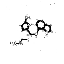 CNCC[C@@H](Oc1cccc2ccoc12)c1ccc(C)s1